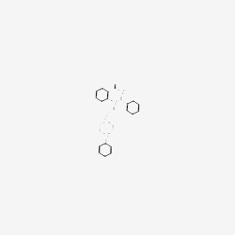 CN1C(=O)c2ccccc2N(CCN2CCN(c3ccccc3)CC2)C1c1ccccc1